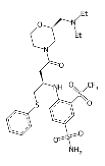 CCN(CC)C[C@H]1CN(C(=O)C[C@H](CSc2ccccc2)Nc2ccc(S(N)(=O)=O)cc2S(=O)(=O)C(F)(F)F)CCO1